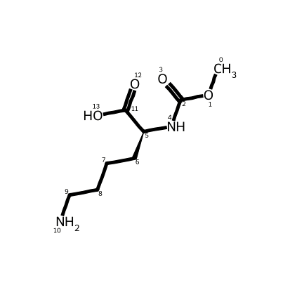 COC(=O)N[C@@H](CCCCN)C(=O)O